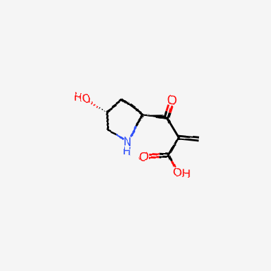 C=C(C(=O)O)C(=O)[C@@H]1C[C@@H](O)CN1